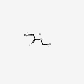 C=CC(=O)NCN.Cl